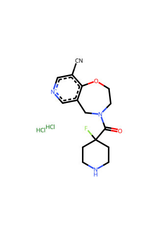 Cl.Cl.N#Cc1cncc2c1OCCN(C(=O)C1(F)CCNCC1)C2